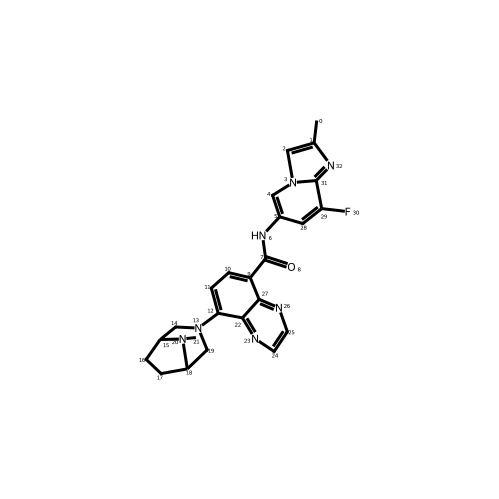 Cc1cn2cc(NC(=O)c3ccc(N4CC5CCC(C4)N5C)c4nccnc34)cc(F)c2n1